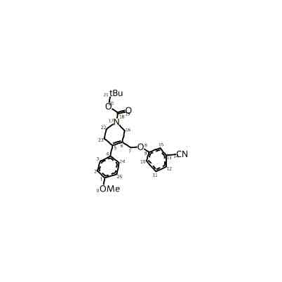 COc1ccc(C2=C(COc3cccc(C#N)c3)CN(C(=O)OC(C)(C)C)CC2)cc1